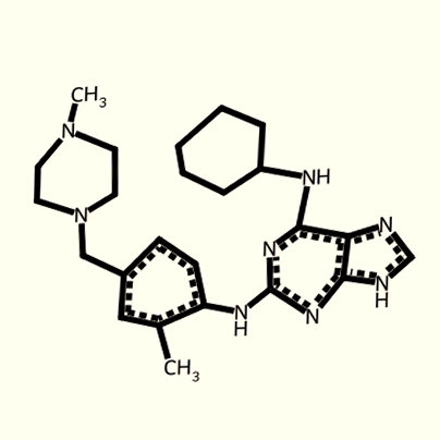 Cc1cc(CN2CCN(C)CC2)ccc1Nc1nc(NC2CCCCC2)c2nc[nH]c2n1